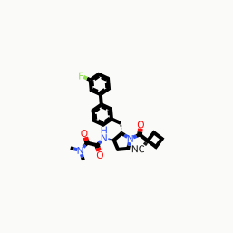 CN(C)C(=O)C(=O)N[C@H]1CCN(C(=O)C2(C#N)CCC2)[C@H]1Cc1cccc(-c2cccc(F)c2)c1